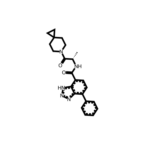 C[C@H](NC(=O)c1ccc(-c2ccccc2)c2nn[nH]c12)C(=O)N1CCC2(CC1)CC2